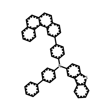 c1ccc(-c2ccc(N(c3ccc(-c4ccc5ccc6ccc7ccccc7c6c5c4)cc3)c3ccc4sc5ccccc5c4c3)cc2)cc1